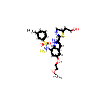 COCCOc1cc(N(S)S(=O)(=O)c2cccc(C)c2)c2[nH]c(C3=NCC(CCO)S3)cc2c1